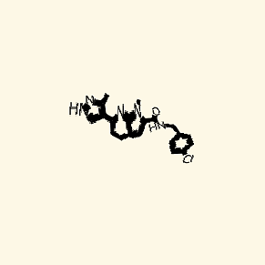 Cc1n[nH]cc1-c1ccc2cc(C(=O)NCc3ccc(Cl)cc3)n(C)c2n1